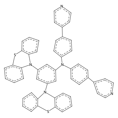 c1ccc2c(c1)Sc1ccccc1N2c1cc(N(c2ccc(-c3ccncc3)cc2)c2ccc(-c3ccncc3)cc2)cc(N2c3ccccc3Sc3ccccc32)c1